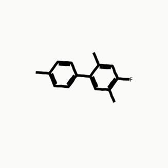 Cc1ccc(-c2cc(C)c(F)cc2C)cc1